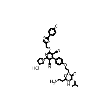 CC(C)C[C@H](NC(=O)CCN)C(=O)OCCOc1ccc(-c2c(C#N)c(SCc3csc(-c4ccc(Cl)cc4)n3)nc(N3CCCC3)c2C#N)cc1.Cl